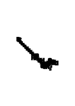 CCC=CCC=CCC=CCC=CCC=CCC=CCCC(=O)NCCNCCCNC(=O)C(C)(C)Oc1ccc(C(=O)c2ccc(Cl)cc2)cc1